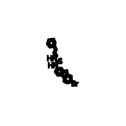 S=C(NCCCc1ccccc1)Nc1ccc2c(c1)Cc1cc(Br)ccc1-2